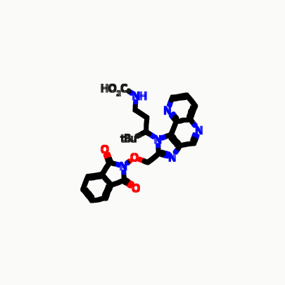 CC(C)(C)C(CCNC(=O)O)n1c(CON2C(=O)c3ccccc3C2=O)nc2cnc3cccnc3c21